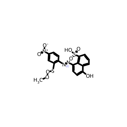 COOSc1cc([N+](=O)[O-])ccc1/N=N/c1ccc(O)c2cccc(S(=O)(=O)O)c12